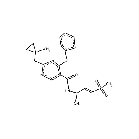 CC(/C=C/S(C)(=O)=O)NC(=O)c1cnc(CC2(C)CC2)nc1Oc1ccccc1